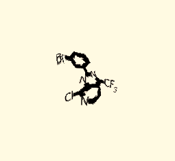 FC(F)(F)c1nc(-c2cccc(Br)c2)nc2c(Cl)nccc12